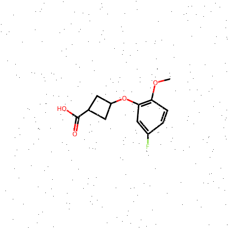 COc1ccc(F)cc1OC1CC(C(=O)O)C1